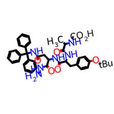 CC(NC(=O)O)C(=O)NC(Cc1ccc(OC(C)(C)C)cc1)C(=O)NC(CC(=O)NC(c1ccccc1)(c1ccccc1)c1ccccc1)C(=O)NN